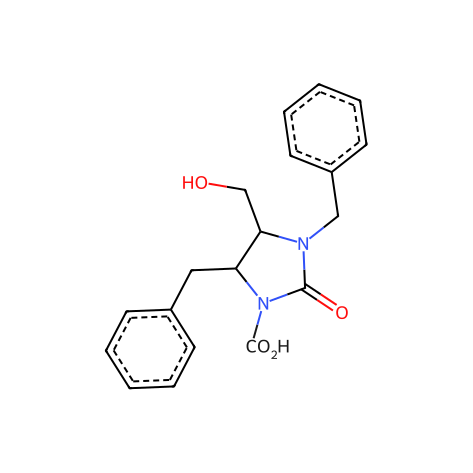 O=C(O)N1C(=O)N(Cc2ccccc2)C(CO)C1Cc1ccccc1